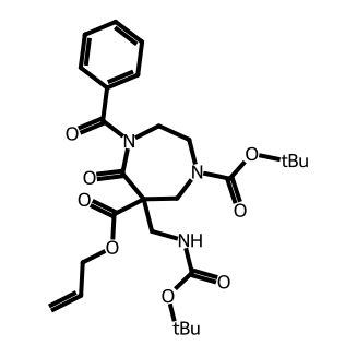 C=CCOC(=O)C1(CNC(=O)OC(C)(C)C)CN(C(=O)OC(C)(C)C)CCN(C(=O)c2ccccc2)C1=O